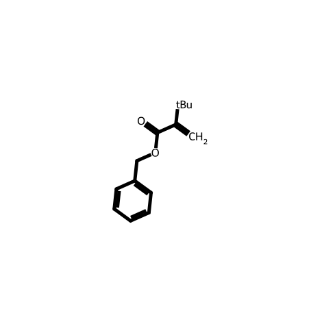 C=C(C(=O)OCc1ccccc1)C(C)(C)C